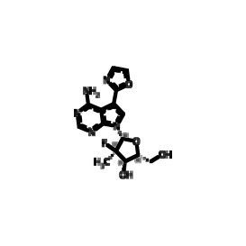 C[C@@]1(F)[C@H](O)[C@@H](CO)O[C@H]1n1cc(-c2ncco2)c2c(N)ncnc21